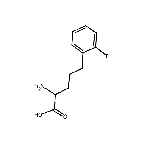 NC(CCCc1ccccc1F)C(=O)O